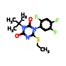 CCSc1nc(=O)n(C(C)(C)C)c(=O)n1-c1cc(F)c(F)cc1F